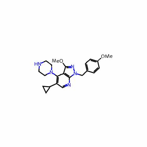 COc1ccc(Cn2nc(OC)c3c(N4CCNCC4)c(C4CC4)cnc32)cc1